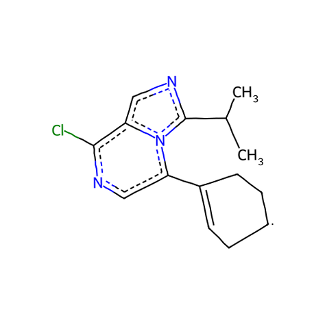 CC(C)c1ncc2c(Cl)ncc(C3=CC[CH]CC3)n12